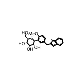 COc1ccc(Cc2cc3ccccc3s2)cc1[C@@H]1S[C@H](CO)[C@@H](O)[C@H](O)[C@H]1O